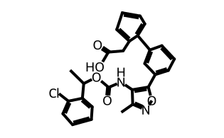 Cc1noc(-c2cccc(-c3ccccc3CC(=O)O)c2)c1NC(=O)OC(C)c1ccccc1Cl